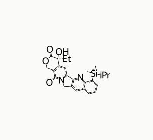 CC[C@@]1(O)C(=O)OCc2c1cc1n(c2=O)Cc2cc3cccc([Si](C)(C)C(C)C)c3nc2-1